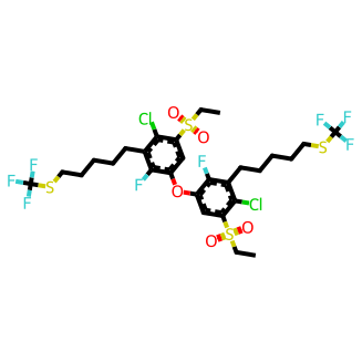 CCS(=O)(=O)c1cc(Oc2cc(S(=O)(=O)CC)c(Cl)c(CCCCCSC(F)(F)F)c2F)c(F)c(CCCCCSC(F)(F)F)c1Cl